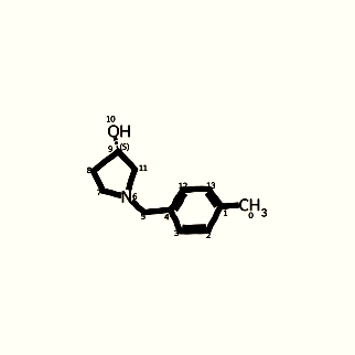 Cc1ccc(CN2CC[C@H](O)C2)cc1